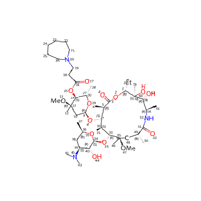 CC[C@H]1OC(=O)[C@H](C)[C@@H](O[C@H]2C[C@@](C)(OC)[C@@H](OC(=O)CCN3CCCCCC3)[C@H](C)O2)[C@H](C)[C@@H](O[C@@H]2O[C@H](C)C[C@H](N(C)C)[C@H]2O)[C@](C)(OC)C[C@@H](C)C(=O)N[C@H](C)[C@@H](O)[C@]1(C)O